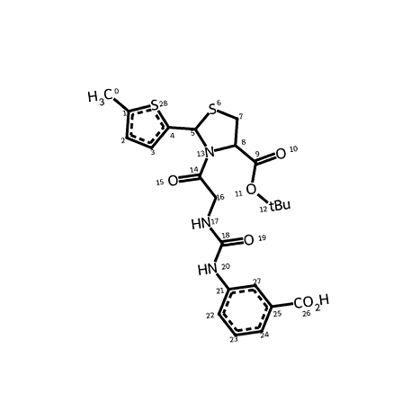 Cc1ccc(C2SCC(C(=O)OC(C)(C)C)N2C(=O)CNC(=O)Nc2cccc(C(=O)O)c2)s1